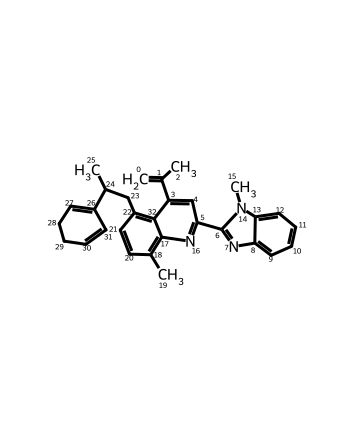 C=C(C)c1cc(-c2nc3ccccc3n2C)nc2c(C)ccc(CC(C)C3=CCCC=C3)c12